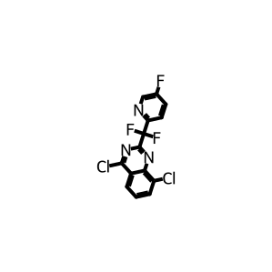 Fc1ccc(C(F)(F)c2nc(Cl)c3cccc(Cl)c3n2)nc1